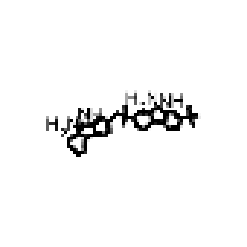 CC(C)(C)c1ccc2c(c1)C(N)(N)c1cc(C(C)(C)Cc3ccc4c(c3)C(N)(N)c3ccccc3-4)ccc1-2